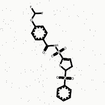 O=C(NS(=O)(=O)C1=CCC(S(=O)(=O)c2ccccc2)S1)c1ccc(OC(F)F)cc1